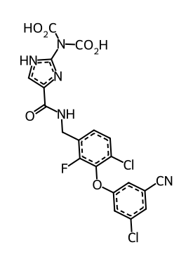 N#Cc1cc(Cl)cc(Oc2c(Cl)ccc(CNC(=O)c3c[nH]c(N(C(=O)O)C(=O)O)n3)c2F)c1